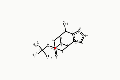 CC(C)(C)OC(=O)N1C2COCC1C(O)c1oncc12